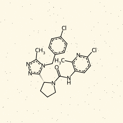 Cc1nc(Cl)ccc1NC(=O)N1CCC[C@@H]1c1nnc(C)n1Cc1ccc(Cl)cc1